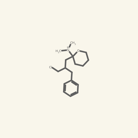 C[SiH](C)C1(CC(CCl)Cc2ccccc2)CCCCO1